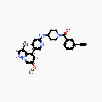 C#Cc1cccc(C(=O)N2CCC(Nc3ccc(-c4cc(OCC)cn5ncc(C#N)c45)cn3)CC2)c1